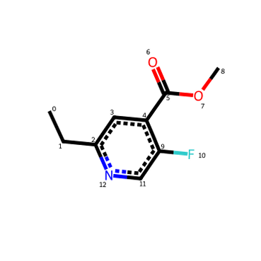 CCc1cc(C(=O)OC)c(F)cn1